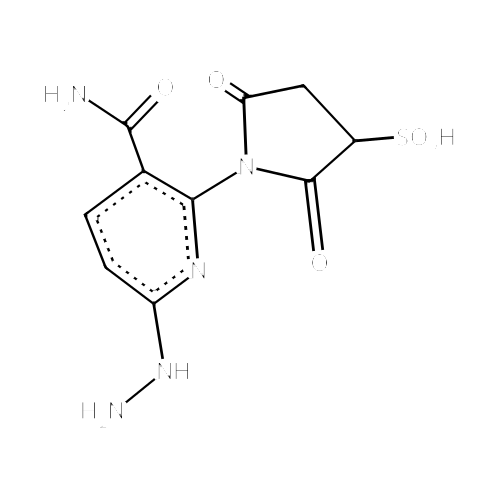 NNc1ccc(C(N)=O)c(N2C(=O)CC(S(=O)(=O)O)C2=O)n1